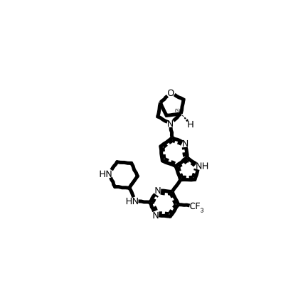 FC(F)(F)c1cnc(NC2CCCNC2)nc1-c1c[nH]c2nc(N3CC4C[C@H]3CO4)ccc12